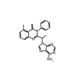 C=C1c2c(C)cccc2N=C(C(C)n2cnc3c(N)ncnc32)N1c1ccccc1